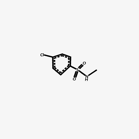 CNS(=O)(=O)c1ccc(Cl)cc1